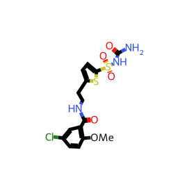 COc1ccc(Cl)cc1C(=O)NCCc1ccc(S(=O)(=O)NC(N)=O)s1